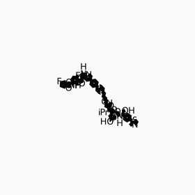 Cc1ncsc1-c1ccc([C@H](CO)NC(=O)[C@@H]2C[C@@H](O)CN2C(=O)[C@@H](c2cc(OCCCN3CCN(c4ccc(-c5cnc6[nH]cc(C(=O)c7c(F)ccc(NS(=O)(=O)N8CC[C@@H](F)C8)c7F)c6c5)cc4)CC3)no2)C(C)C)cc1